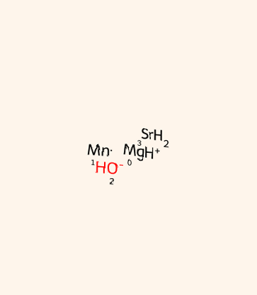 [MgH+].[Mn].[OH-].[SrH2]